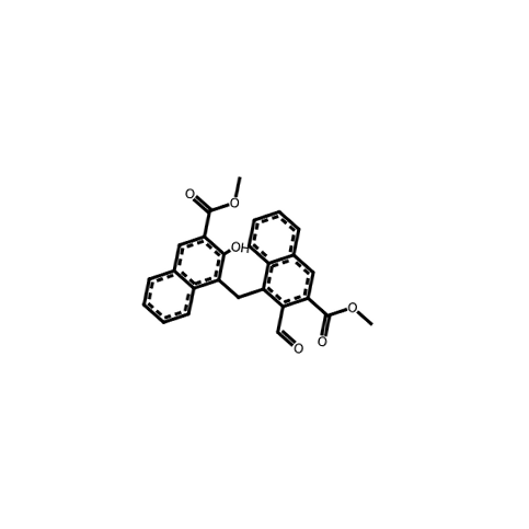 COC(=O)c1cc2ccccc2c(Cc2c(C=O)c(C(=O)OC)cc3ccccc23)c1O